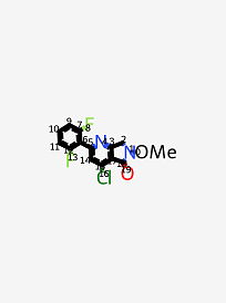 CON1Cc2nc(-c3c(F)cccc3F)cc(Cl)c2C1=O